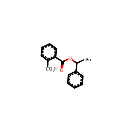 CCCCC(OC(=O)c1ccccc1C(=O)O)c1ccccc1